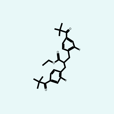 CCOC(=O)C(Cc1ccc(C(=O)C(C)(C)C)cc1F)Cc1ccc(C(=O)C(C)(C)C)cc1F